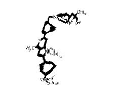 Cc1nc(-c2ccc(CN3C[C@H]4CCC3CN4CC(C)(C)CO)cc2)cc2c1cc(-c1ccc(S(C)(=O)=O)cc1)n2C